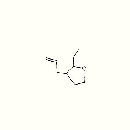 C=CCC1CCO[C@@H]1CC